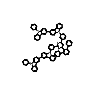 c1ccc(-c2cccc(-c3ccccc3)c2-c2cc(-c3cccc(-n4c5ccccc5c5cc(-c6ccc7c(c6)c6ccccc6n7-c6ccccc6)ccc54)c3)nc(-c3cccc(-n4c5ccccc5c5cc(-c6ccc7c(c6)c6ccccc6n7-c6ccccc6)ccc54)c3)n2)cc1